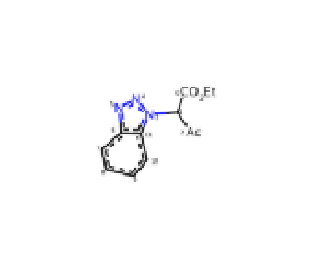 CCOC(=O)C(C(C)=O)n1nnc2ccccc21